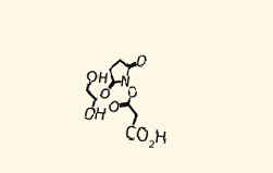 O=C(O)CC(=O)ON1C(=O)CCC1=O.OCCO